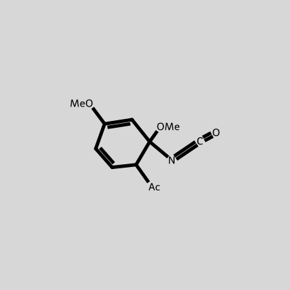 COC1=CC(N=C=O)(OC)C(C(C)=O)C=C1